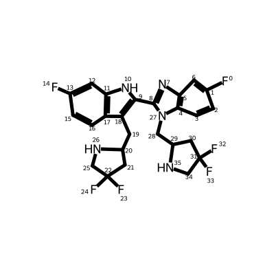 Fc1ccc2c(c1)nc(-c1[nH]c3cc(F)ccc3c1CC1CC(F)(F)CN1)n2CC1CC(F)(F)CN1